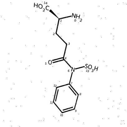 N[C@@H](CCC(=O)N(c1ccccc1)S(=O)(=O)O)C(=O)O